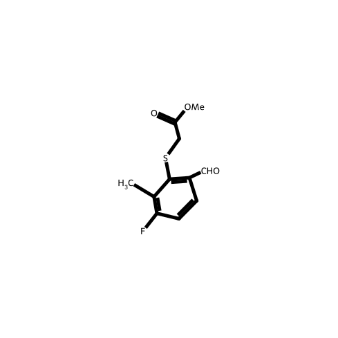 COC(=O)CSc1c(C=O)ccc(F)c1C